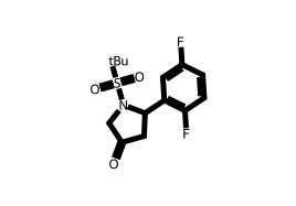 CC(C)(C)S(=O)(=O)N1CC(=O)CC1c1cc(F)ccc1F